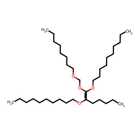 CCCCCCCCCCOC(CCCCC)=C(OCCCCCCCCCC)OCOCCCCCCCC